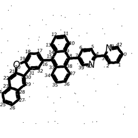 c1ccc(-c2ccc(-c3c4ccccc4c(-c4ccc5oc6cc7ccccc7cc6c5c4)c4ccccc34)cn2)nc1